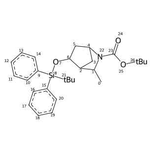 CC1C2CC(CC2O[Si](c2ccccc2)(c2ccccc2)C(C)(C)C)N1C(=O)OC(C)(C)C